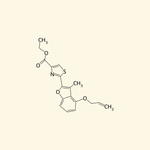 C=CCOc1cccc2oc(-c3nc(C(=O)OCC)cs3)c(C)c12